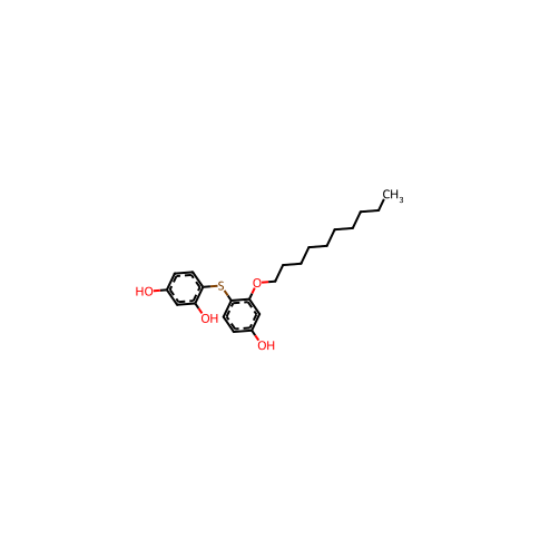 CCCCCCCCCCOc1cc(O)ccc1Sc1ccc(O)cc1O